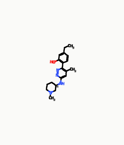 CCc1ccc(-c2nnc(N[C@@H]3CCCN(C)C3)cc2C)c(O)c1